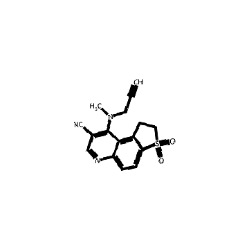 C#CCN(C)c1c(C#N)cnc2ccc3c(c12)CCS3(=O)=O